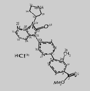 COC(=O)c1ccc(-c2ccc(-n3c(=O)n(C4CCNC4)c4ncccc43)cn2)c(C)c1.Cl